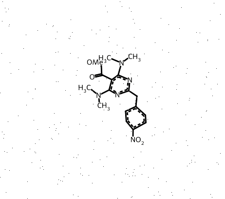 COC(=O)c1c(N(C)C)nc(Cc2ccc([N+](=O)[O-])cc2)nc1N(C)C